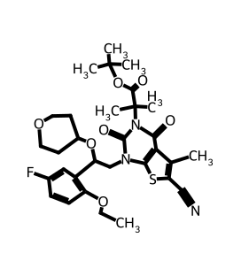 CCOc1ccc(F)cc1C(Cn1c(=O)n(C(C)(C)C(=O)OC(C)(C)C)c(=O)c2c(C)c(C#N)sc21)OC1CCOCC1